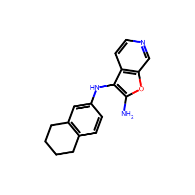 Nc1oc2cnccc2c1Nc1ccc2c(c1)CCCC2